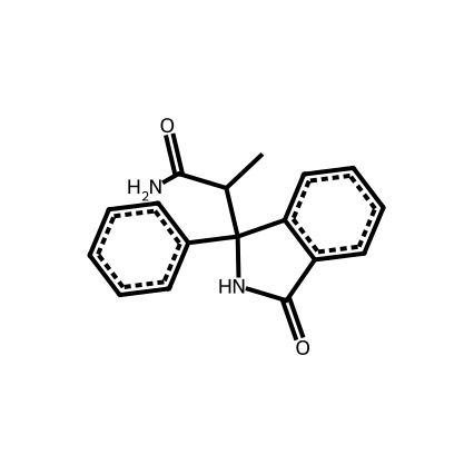 CC(C(N)=O)C1(c2ccccc2)NC(=O)c2ccccc21